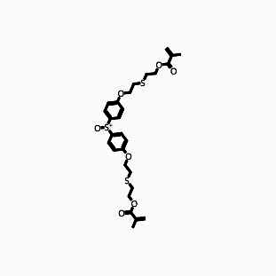 C=C(C)C(=O)OCCSCCOc1ccc([S+]([O-])c2ccc(OCCSCCOC(=O)C(=C)C)cc2)cc1